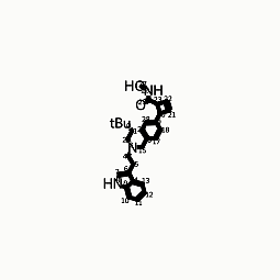 CC(C)(C)CCN(CCc1c[nH]c2ccccc12)Cc1ccc(C2C#CC2C(=O)NO)cc1